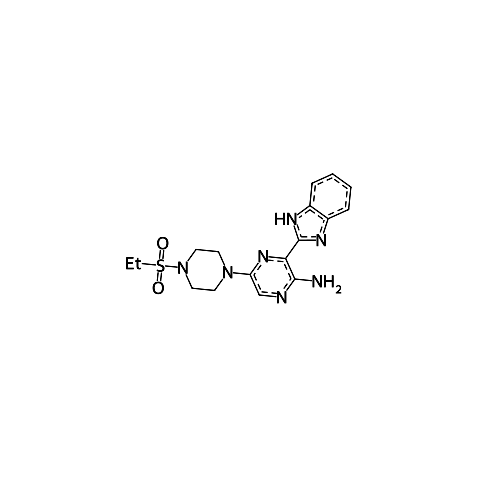 CCS(=O)(=O)N1CCN(c2cnc(N)c(-c3nc4ccccc4[nH]3)n2)CC1